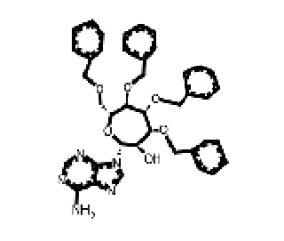 Nc1ncnc2c1ncn2[C@@H]1O[C@H](COCc2ccccc2)[C@@H](OCc2ccccc2)[C@H](OCc2ccccc2)[C@@H](OCc2ccccc2)[C@H]1O